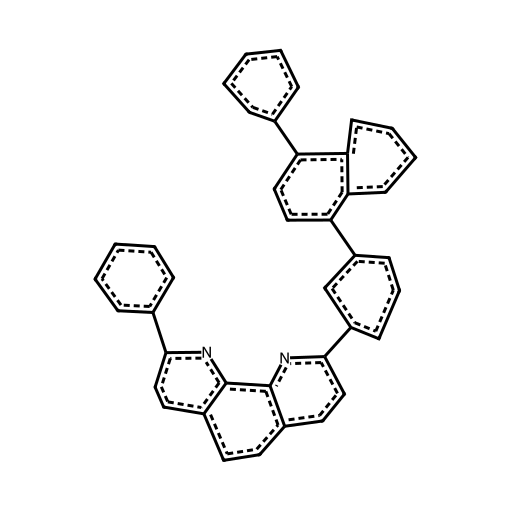 c1ccc(-c2ccc3ccc4ccc(-c5cccc(-c6ccc(-c7ccccc7)c7ccccc67)c5)nc4c3n2)cc1